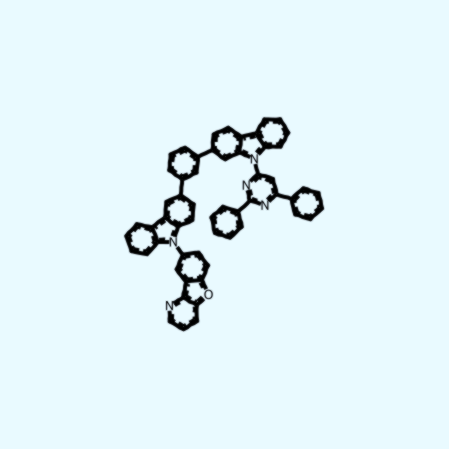 c1ccc(-c2cc(-n3c4ccccc4c4ccc(-c5cccc(-c6ccc7c(c6)c6ccccc6n7-c6ccc7oc8cccnc8c7c6)c5)cc43)nc(-c3ccccc3)n2)cc1